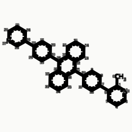 Cc1ncccc1-c1ccc(-c2c3ccccc3c(-c3ccc(-c4cccnc4)cc3)c3ccccc23)cc1